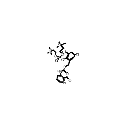 C[Si](C)(C)CCOP(=O)(OCC[Si](C)(C)C)Oc1c(Cl)cc(Cl)cc1COC(=O)Nc1cccnc1C=O